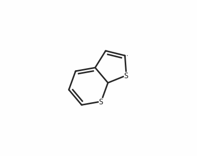 [C]1=CC2=CC=CSC2S1